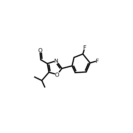 CC(C)c1oc(C2=CC=C(F)C(F)C2)nc1C=O